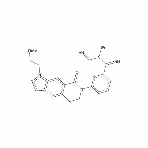 COCCn1ncc2cc3c(cc21)C(=O)N(c1cccc(C(=N)N(C=N)C(C)C)n1)CC3